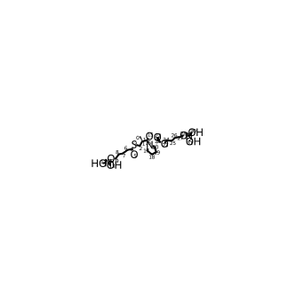 C[C@H](CSC(=O)CCCCON(O)O)C(=O)N1CCC[C@H]1C(=O)OCCCCON(O)O